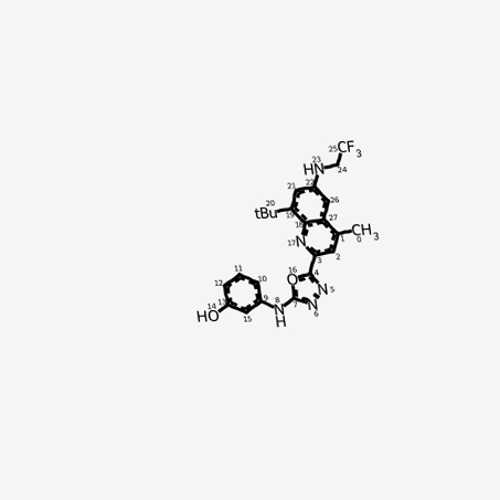 Cc1cc(-c2nnc(Nc3cccc(O)c3)o2)nc2c(C(C)(C)C)cc(NCC(F)(F)F)cc12